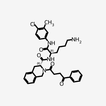 Cc1cc(NC(=O)[C@@H](CCCCN)NC(=O)[C@H]2Cc3ccccc3CN2C(=O)CCC(=O)c2ccccc2)ccc1Cl